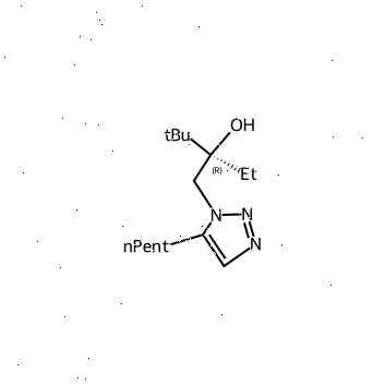 CCCCCc1cnnn1C[C@@](O)(CC)C(C)(C)C